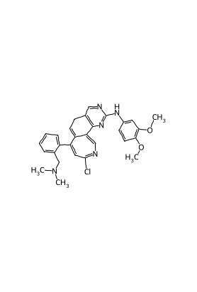 COc1ccc(Nc2ncc3c(n2)C2=CN=C(Cl)C=C(c4ccccc4CN(C)C)C2=CC3)cc1OC